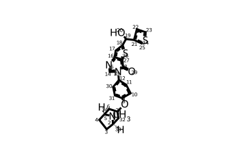 CN1[C@@H]2CC[C@H]1CC(Oc1ccc(-n3cnc4cc(C(O)c5ccsc5)sc4c3=O)cc1)C2